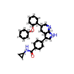 O=C(NC1CC1)c1ccc(-c2c[nH]c3ncc(-c4ccccc4Oc4ccccc4)cc23)cc1